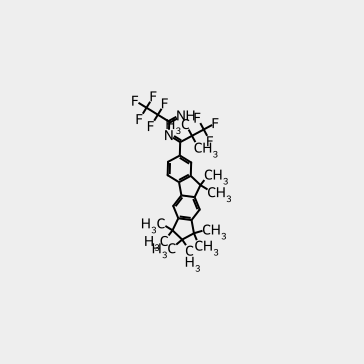 CC1(C)c2cc(/C(=N/C(=N)C(F)(F)C(F)(F)F)C(C)(C)C(F)(F)F)ccc2-c2cc3c(cc21)C(C)(C)C(C)(C)C3(C)C